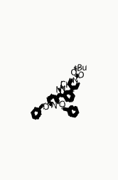 Cn1nc(-c2ccc(OCc3ccccc3)nc2OCc2ccccc2)c2cccc(C3=CCN(C(=O)OC(C)(C)C)CC3)c21